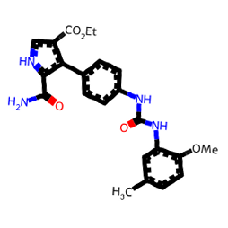 CCOC(=O)c1c[nH]c(C(N)=O)c1-c1ccc(NC(=O)Nc2cc(C)ccc2OC)cc1